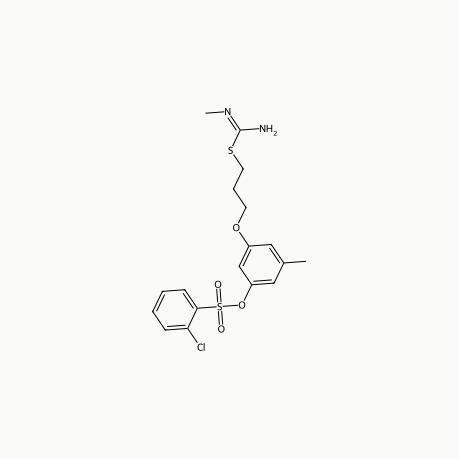 C/N=C(/N)SCCCOc1cc(C)cc(OS(=O)(=O)c2ccccc2Cl)c1